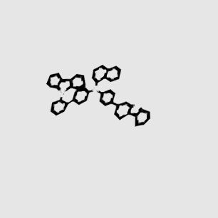 c1ccc(-n2c3ccccc3c3ccccc32)c(-c2ccc(N(c3ccc(-c4ccc5c(c4)oc4ccccc45)cc3)c3cccc4ccccc34)cc2)c1